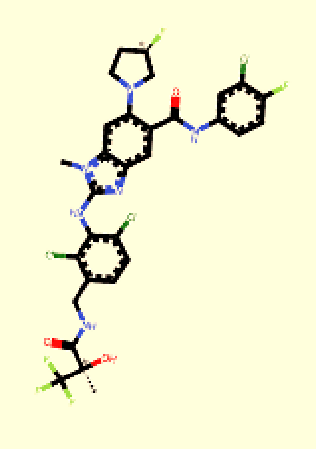 Cn1c(Nc2c(Cl)ccc(CNC(=O)[C@@](C)(O)C(F)(F)F)c2Cl)nc2cc(C(=O)Nc3ccc(F)c(Cl)c3)c(N3CC[C@@H](F)C3)cc21